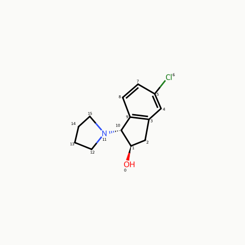 O[C@@H]1Cc2cc(Cl)ccc2[C@H]1N1CCCC1